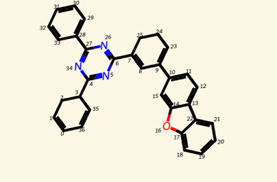 C1=CCC(c2nc(C3=CC(c4ccc5c(c4)oc4ccccc45)=CCC3)nc(-c3ccccc3)n2)C=C1